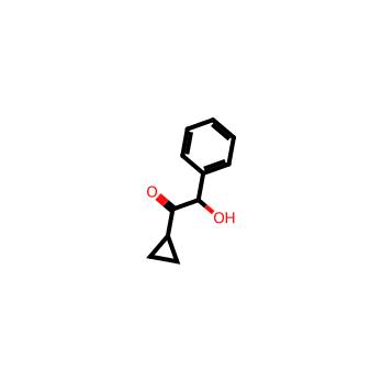 O=C(C1CC1)C(O)c1ccccc1